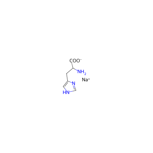 NC(Cc1c[nH]cn1)C(=O)[O-].[Na+]